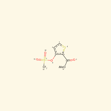 COC(=O)c1sccc1OS(=O)(=O)C(F)(F)F